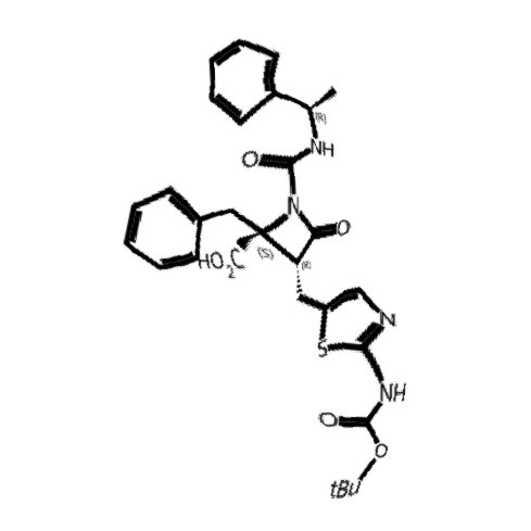 C[C@@H](NC(=O)N1C(=O)[C@H](Cc2cnc(NC(=O)OC(C)(C)C)s2)[C@@]1(Cc1ccccc1)C(=O)O)c1ccccc1